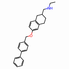 CCNCC1CCc2cc(OCc3ccc(-c4ccccc4)cc3)ccc2C1